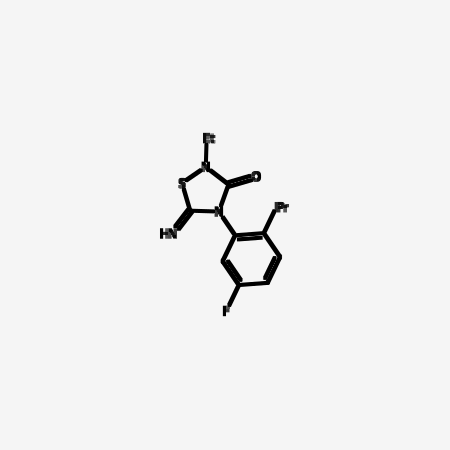 CCn1sc(=N)n(-c2cc(F)ccc2C(C)C)c1=O